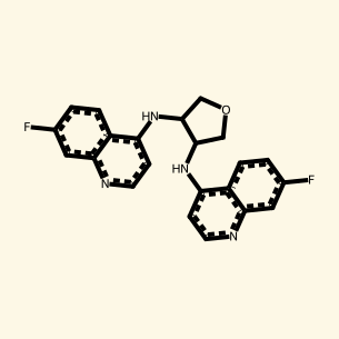 Fc1ccc2c(NC3COCC3Nc3ccnc4cc(F)ccc34)ccnc2c1